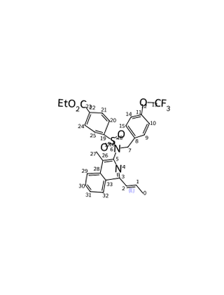 C/C=C/c1nc(N(Cc2ccc(OC(F)(F)F)cc2)S(=O)(=O)c2ccc(C(=O)OCC)cc2)c(C)c2ccccc12